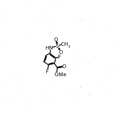 COC(=O)c1c(F)ccc(NS(C)(=O)=O)c1F